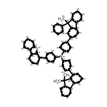 CC1(C)c2ccccc2-c2cccc(-c3ccc(N(c4ccc(-c5ccc6c(c5)C(C)(c5ccccc5)c5ccccc5-6)cc4)c4ccc(-c5cccc6c5sc5ccccc56)cc4)cc3)c21